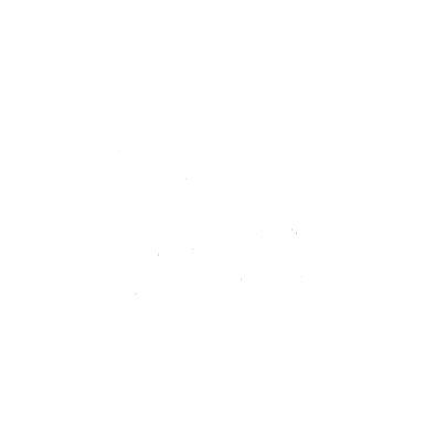 C[N+](F)(F)C(=O)Oc1cc(Cl)cc(Cl)c1